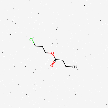 CCCC(=O)OCCCCl